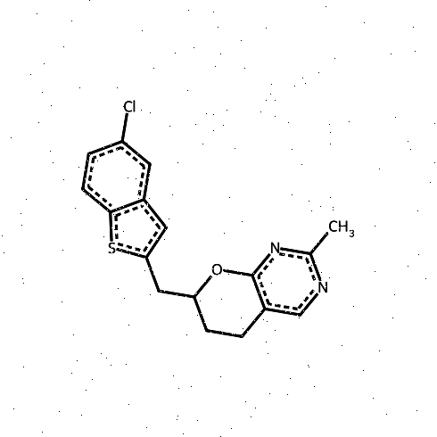 Cc1ncc2c(n1)OC(Cc1cc3cc(Cl)ccc3s1)CC2